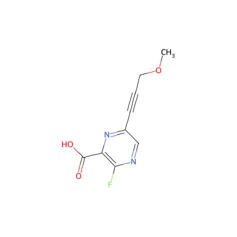 COCC#Cc1cnc(F)c(C(=O)O)n1